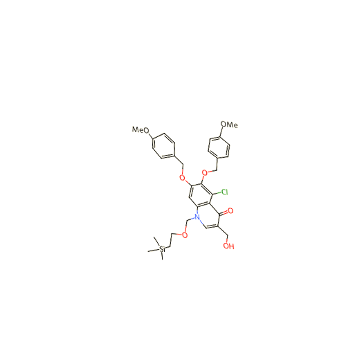 COc1ccc(COc2cc3c(c(Cl)c2OCc2ccc(OC)cc2)c(=O)c(CO)cn3COCC[Si](C)(C)C)cc1